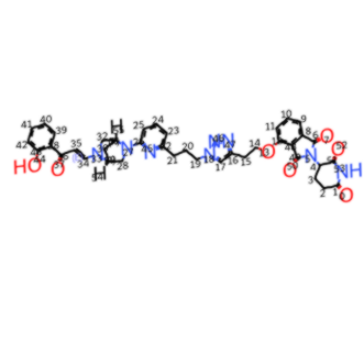 O=C1CCC(N2C(=O)c3cccc(OCCc4cn(CCCc5cccc(N6C[C@H]7C[C@@H]6CN7/C=C/C(=O)c6ccccc6O)n5)nn4)c3C2=O)C(=O)N1